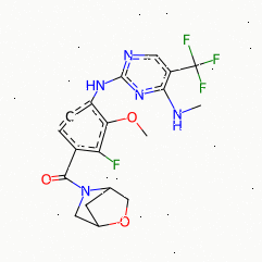 CNc1nc(Nc2ccc(C(=O)N3CC4CC3CO4)c(F)c2OC)ncc1C(F)(F)F